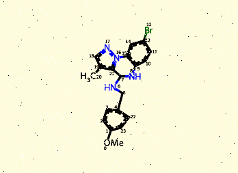 COc1ccc(CNC2Nc3ccc(Br)cc3-n3ncc(C)c32)cc1